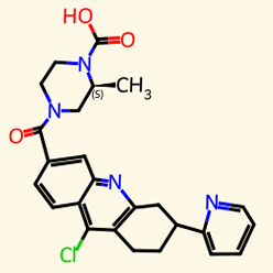 C[C@H]1CN(C(=O)c2ccc3c(Cl)c4c(nc3c2)CC(c2ccccn2)CC4)CCN1C(=O)O